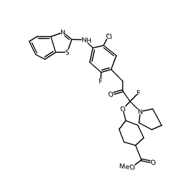 COC(=O)C1CCC(OC(F)(C(=O)Cc2cc(Cl)c(Nc3nc4ccccc4s3)cc2F)N2CCCC2)CC1